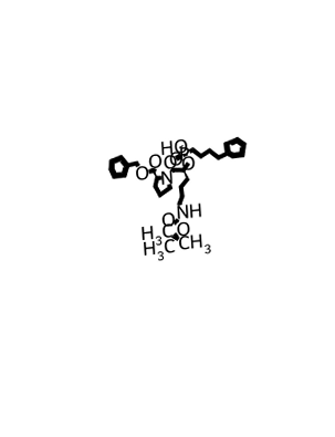 CC(C)(C)OC(=O)NCCCC[C@H](OP(=O)(O)CCCCc1ccccc1)C(=O)N1CCC[C@H]1C(=O)OCc1ccccc1